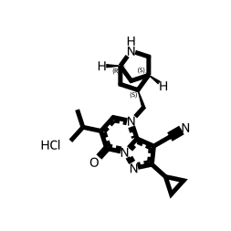 CC(C)c1cn(C[C@H]2C[C@H]3C[C@@H]2CN3)c2c(C#N)c(C3CC3)nn2c1=O.Cl